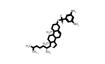 CC(C)CCC[C@@H](C)[C@H]1CCC2C3CC=C4CC(OC(F)(F)c5cc(N)cc(N)c5)CC[C@]4(C)C3CC[C@@]21C